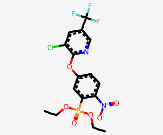 CCOP(=O)(OCC)c1cc(Oc2ncc(C(F)(F)F)cc2Cl)ccc1[N+](=O)[O-]